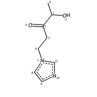 CC(O)C(=O)CCn1ccnc1